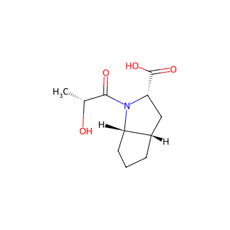 C[C@@H](O)C(=O)N1[C@H](C(=O)O)C[C@@H]2CCC[C@@H]21